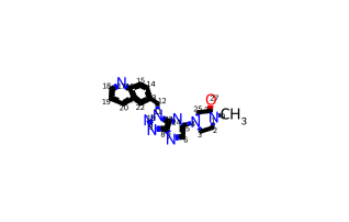 CN1CCN(c2cnc3nnn(Cc4ccc5ncccc5c4)c3n2)CC1=O